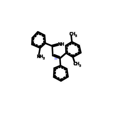 Cc1ccc(C)c(/C(=C\C(=N)c2ccccc2N)c2ccccc2)c1